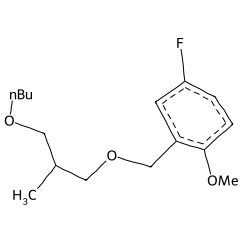 CCCCOCC(C)COCc1cc(F)ccc1OC